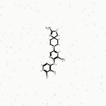 NC1=NC2(CCN(c3cnc(Sc4ccnc(Cl)c4Cl)c(N)n3)CC2)CO1